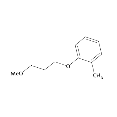 COCCCOc1ccccc1C